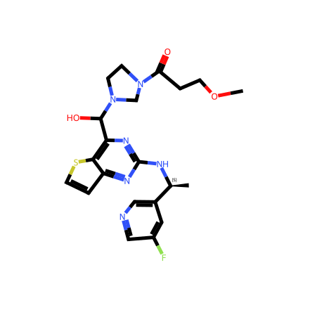 COCCC(=O)N1CCN(C(O)c2nc(N[C@@H](C)c3cncc(F)c3)nc3ccsc23)C1